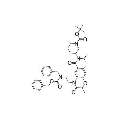 Cc1cc2c(cc1C(=O)N(C(C)C)[C@@H]1CCCN(C(=O)OC(C)(C)C)C1)N(CCN(Cc1ccccc1)C(=O)OCc1ccccc1)C(=O)C(C)O2